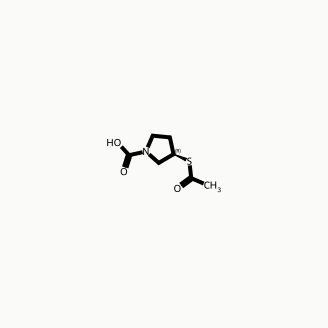 CC(=O)S[C@@H]1CCN(C(=O)O)C1